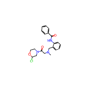 CN(CC(=O)N1CCOC(Cl)C1)Cc1ccccc1NC(=O)c1ccccc1